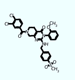 COc1ccccc1-n1c(NCc2ccc(S(C)(=O)=O)cc2)nc2c(c1=O)CCN(C(=O)c1ccc(Cl)c(Cl)c1)C2